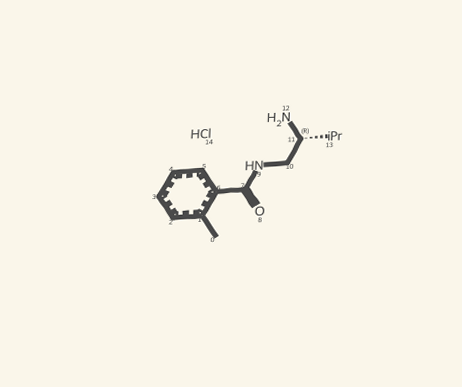 Cc1ccccc1C(=O)NC[C@H](N)C(C)C.Cl